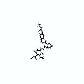 CCC(C)C(C(CC=O)OC)N(C)C(=O)CNCC[C@]1(C)CCCN1C(=O)OCc1ccc(NC(=O)CNC=O)cc1